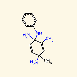 CC1(N)C=CC(N)(Nc2ccccc2)C(N)=C1